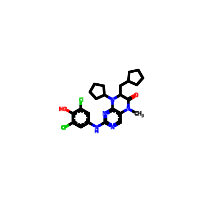 CN1C(=O)C(CC2CCCC2)N(C2CCCC2)c2nc(Nc3cc(Cl)c(O)c(Cl)c3)ncc21